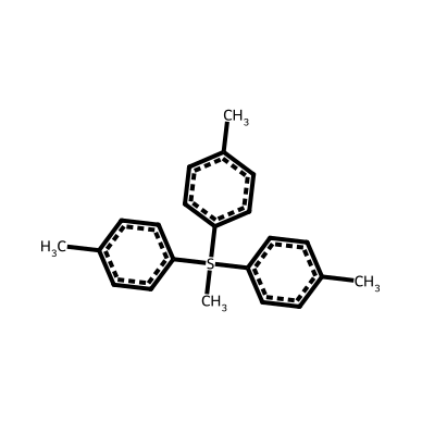 Cc1ccc(S(C)(c2ccc(C)cc2)c2ccc(C)cc2)cc1